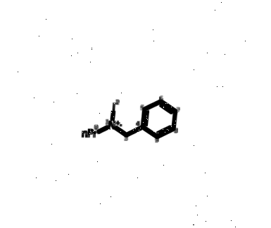 CCC[N+](I)Cc1ccccc1